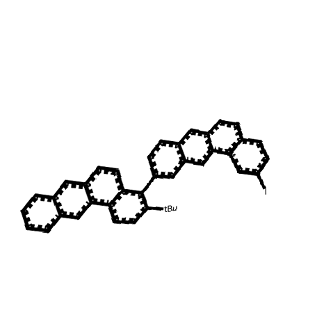 CC(C)(C)c1ccc2c(ccc3cc4ccccc4cc32)c1-c1ccc2cc3ccc4ccc(I)cc4c3cc2c1